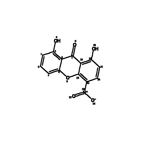 O=c1c2c(O)cccc2oc2c([N+](=O)[O-])ccc(O)c12